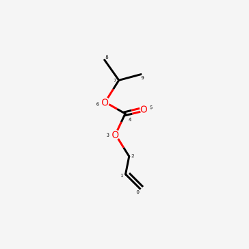 C=CCOC(=O)OC(C)C